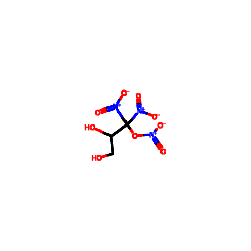 O=[N+]([O-])OC(C(O)CO)([N+](=O)[O-])[N+](=O)[O-]